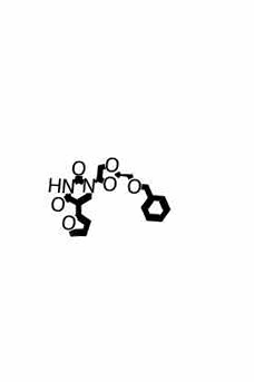 O=c1[nH]c(=O)n([C@H]2CO[C@@H](COCc3ccccc3)O2)cc1-c1ccco1